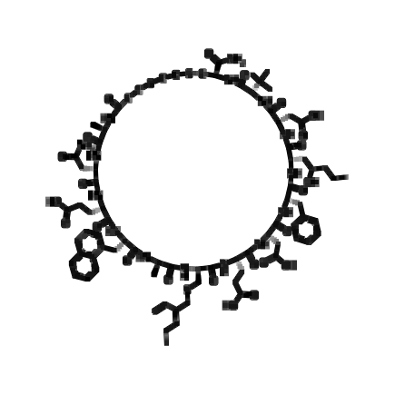 C=C/C(=C\CC)CSC[C@H]1NC(=O)[C@@H](C)NC(=O)[C@H](Cc2cccc3ccccc23)NC(=O)[C@H](CCC(=O)O)NC(=O)[C@H](CC(N)=O)NC(=O)[C@@H](C)NC(=O)CCSCCSC[C@@H](C(N)=O)NC(=O)[C@H](C(C)(C)C)NC(=O)[C@H](CC(=O)O)NC(=O)[C@H](CC(O)CCC)NC(=O)[C@H](Cc2ccccc2)NC(=O)[C@H](CC(=O)O)NC(=O)[C@H](CCC(=O)O)NC1=O